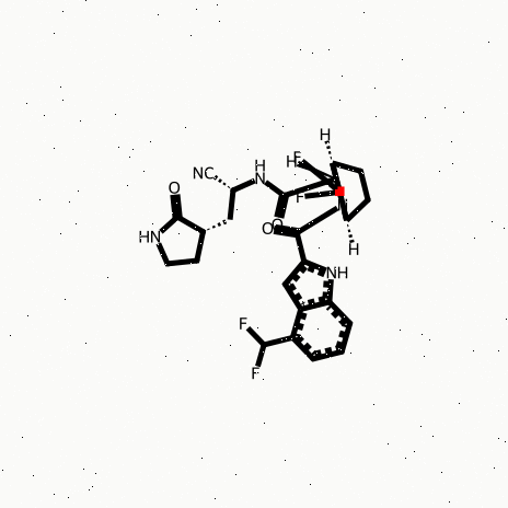 N#C[C@@H](C[C@@H]1CCNC1=O)NC(=O)[C@@H]1[C@H]2CC[C@H](CC2(F)F)N1C(=O)c1cc2c(C(F)F)cccc2[nH]1